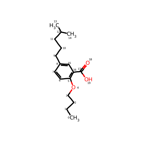 CCCCOc1ccc(CCCC(C)C)cc1C(=O)O